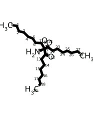 CCCCCCCC(=O)C(N)(C(=O)CCCCCCC)C(=O)CCCCCCC